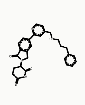 O=C1CCC(N2Cc3cc(-c4cc(CNCCCc5ccccc5)ccn4)ccc3C2=O)C(=O)N1